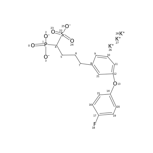 O=P([O-])([O-])C(CCCc1cccc(Oc2ccc(F)cc2)c1)S(=O)(=O)[O-].[K+].[K+].[K+]